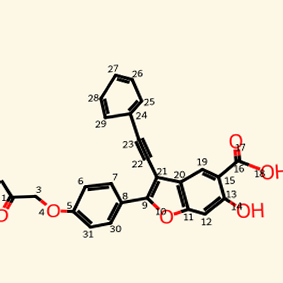 CC(=O)COc1ccc(-c2oc3cc(O)c(C(=O)O)cc3c2C#Cc2ccccc2)cc1